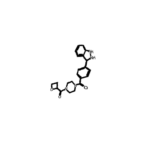 O=C(c1ccc(C2NNc3ccccc32)cc1)N1CCN(C(=O)C2CCO2)CC1